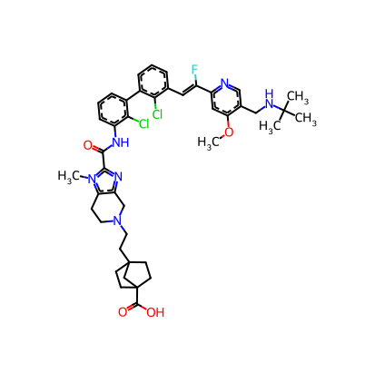 COc1cc(/C(F)=C/c2cccc(-c3cccc(NC(=O)c4nc5c(n4C)CCN(CCC46CCC(C(=O)O)(CC4)C6)C5)c3Cl)c2Cl)ncc1CNC(C)(C)C